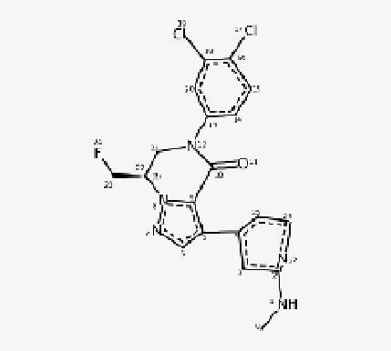 CNc1cc(-c2cnn3c2C(=O)N(c2ccc(Cl)c(Cl)c2)C[C@@H]3CF)ccn1